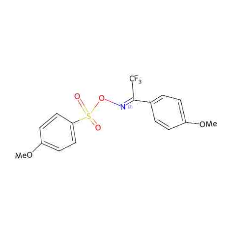 COc1ccc(/C(=N/OS(=O)(=O)c2ccc(OC)cc2)C(F)(F)F)cc1